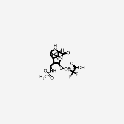 CS(=O)(=O)NCC1=C(OC(=O)O)N2C(=O)[C@H]3NCCC1[C@H]32.O=C(O)C(F)(F)F